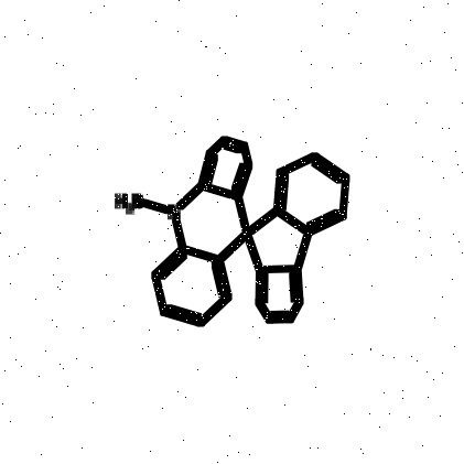 BN1c2ccccc2C2(c3ccccc3-c3ccccc32)c2ccccc21